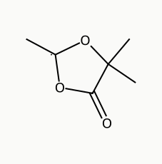 C[C]1OC(=O)C(C)(C)O1